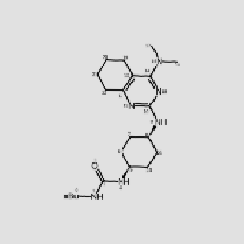 CCCCNC(=O)N[C@H]1CC[C@@H](Nc2nc3c(c(N(C)C)n2)CCCC3)CC1